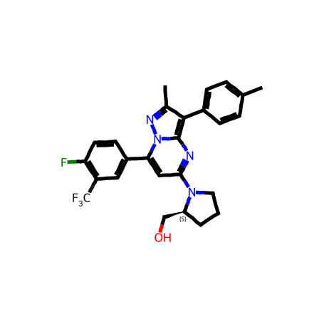 Cc1ccc(-c2c(C)nn3c(-c4ccc(F)c(C(F)(F)F)c4)cc(N4CCC[C@H]4CO)nc23)cc1